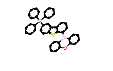 c1ccc([Si](c2ccccc2)(c2ccccc2)c2ccc3sc4c(B5c6ccccc6Oc6ccccc65)cccc4c3c2)cc1